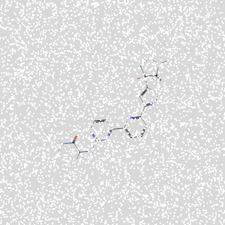 CC(Nc1nccc(-c2cccc(-c3cc([C@]4(O)CCN(C)C4=O)on3)n2)n1)C(=O)N(C)C